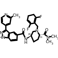 Cc1cc(-c2n[nH]c3ccc(C(=O)N[C@@H]4CC[C@@H](C(=O)N(C)C)N(CC5=C(F)CCC=C5F)C4)cc23)ccn1